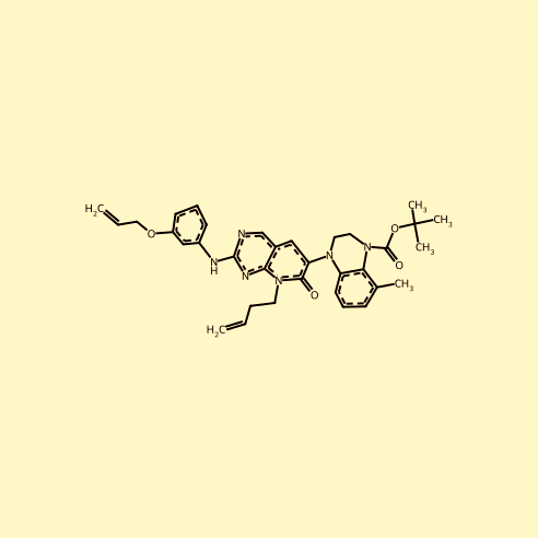 C=CCCn1c(=O)c(N2CCN(C(=O)OC(C)(C)C)c3c(C)cccc32)cc2cnc(Nc3cccc(OCC=C)c3)nc21